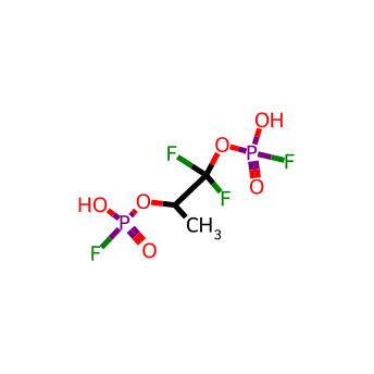 CC(OP(=O)(O)F)C(F)(F)OP(=O)(O)F